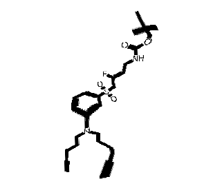 C#CCCCN(CCCC#C)c1cccc(S(=O)(=O)C/C(F)=C/CNC(=O)OC(C)(C)C)c1